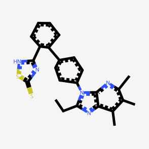 CCc1nc2c(C)c(C)c(C)nc2n1-c1ccc(-c2ccccc2-c2nc(=S)s[nH]2)cc1